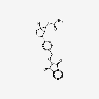 NC(=O)O[C@H]1C2[C@H](c3ccc(CON4C(=O)c5ccccc5C4=O)cc3)CC[C@@H]21